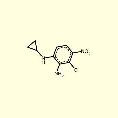 Nc1c(NC2CC2)ccc([N+](=O)[O-])c1Cl